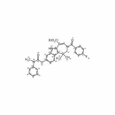 CCOC(=O)C1=CN(C(=O)c2ccc(F)cc2)CC(C)(C)c2c1[nH]c1cc(OC(=O)N(C)c3cccnc3)ccc21